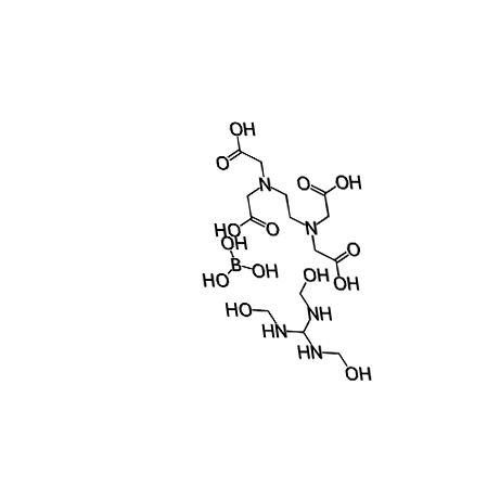 O=C(O)CN(CCN(CC(=O)O)CC(=O)O)CC(=O)O.OB(O)O.OCNC(NCO)NCO